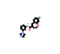 O=C(Nc1cccc(-n2ccnc2)c1)C1=Cc2ccc(Cl)cc2OCC1